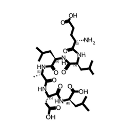 CC(C)C[C@H](NC(=O)[C@@H](N)CCC(=O)O)C(=O)N[C@H](CC(C)C)C(=O)N[C@@H](C)C(=O)N[C@@H](CC(=O)O)C(=O)N[C@H](CC(C)C)C(=O)O